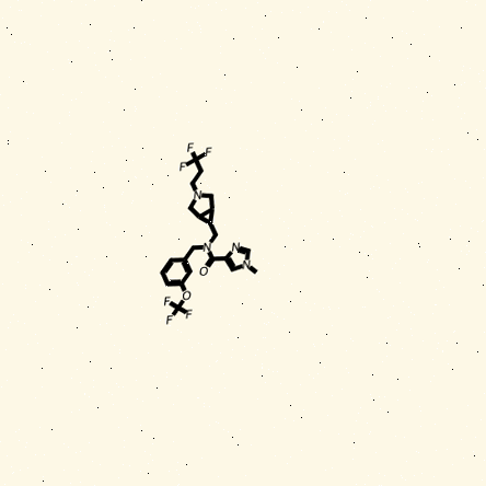 Cn1cnc(C(=O)N(Cc2cccc(OC(F)(F)F)c2)CC2C3CN(CCC(F)(F)F)CC32)c1